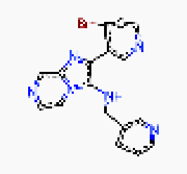 Brc1ccncc1-c1nc2cnccn2c1NCc1cccnc1